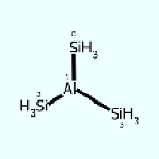 [SiH3][Al]([SiH3])[SiH3]